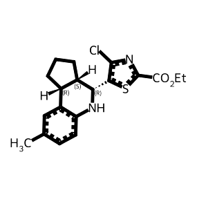 CCOC(=O)c1nc(Cl)c([C@@H]2Nc3ccc(C)cc3[C@@H]3CCC[C@@H]32)s1